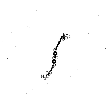 C=CC(=O)OCCCCCOc1ccc(OC(=O)c2ccc(OCCCCCCCCC3CC(=C)C(=O)O3)cc2)cc1